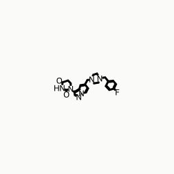 O=C1CCN(c2cnn3ccc(CN4CCN(Cc5ccc(F)cc5)CC4)cc23)C(=O)N1